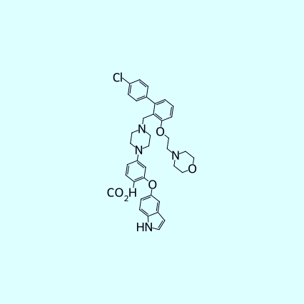 O=C(O)c1ccc(N2CCN(Cc3c(OCCN4CCOCC4)cccc3-c3ccc(Cl)cc3)CC2)cc1Oc1ccc2[nH]ccc2c1